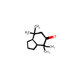 CC1(C)CC(=O)C(C)(C)C2CCCC21